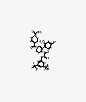 Cc1cc(F)ccc1[C@@H]1CN(C(=O)C2CCN(C(N)=O)CC2)CC[C@H]1C(=O)N(C)Cc1cc(C(F)(F)F)cc(C(F)(F)F)c1